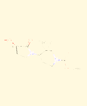 CCOC(=O)C1CN(C(=O)OC(C)(C)C)CCC1N1CC[C@@H](O)C1=O